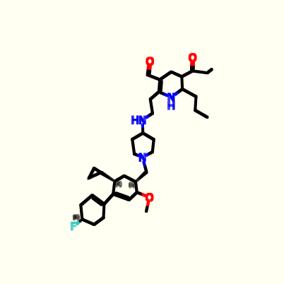 CCCC1NC(CCNC2CCN(C[C@@H]3C[C@H](C4CC4)C(C4=CC[C@H](F)CC4)=CC3OC)CC2)=C(C=O)CC1C(=O)CC